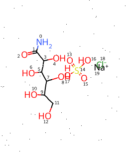 NC(=O)C(O)C(O)C(O)C(O)CO.O=S(=O)(O)O.[Cl-].[Na+]